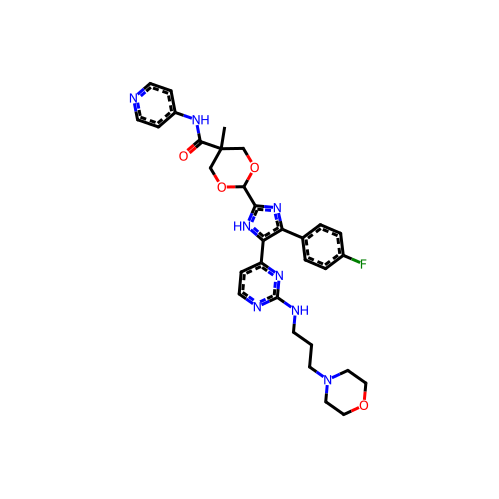 CC1(C(=O)Nc2ccncc2)COC(c2nc(-c3ccc(F)cc3)c(-c3ccnc(NCCCN4CCOCC4)n3)[nH]2)OC1